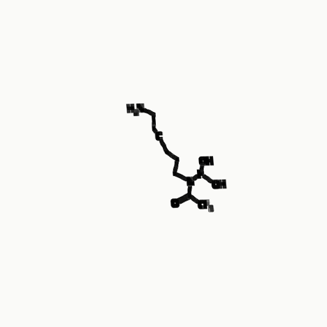 NCCCCCCN(C(=O)C(F)(F)F)P(O)O